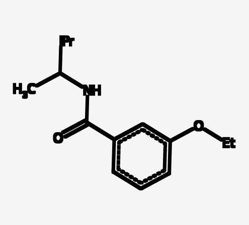 CCOc1cccc(C(=O)NC(C)C(C)C)c1